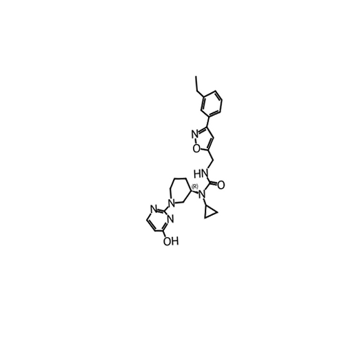 CCc1cccc(-c2cc(CNC(=O)N(C3CC3)[C@@H]3CCCN(c4nccc(O)n4)C3)on2)c1